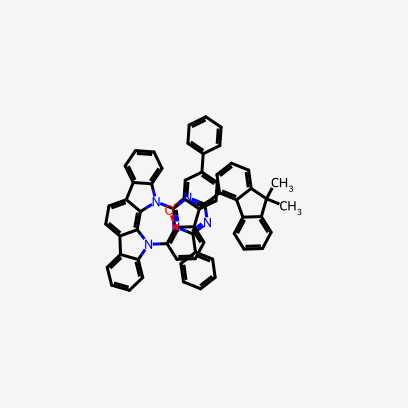 CC1(C)c2ccccc2-c2c(-c3nc(-c4ccccc4)nc(-n4c5ccccc5c5ccc6c7ccccc7n(-c7cccc8c7oc7cc(-c9ccccc9)ccc78)c6c54)n3)cccc21